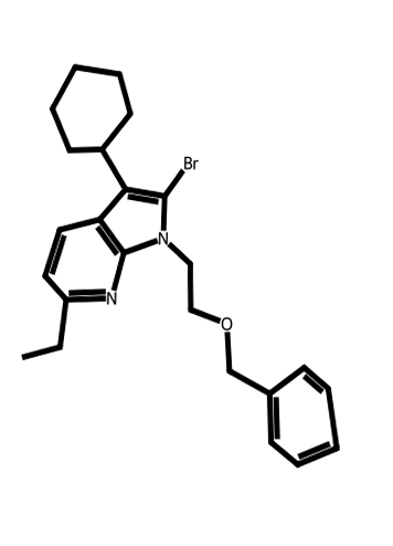 CCc1ccc2c(C3CCCCC3)c(Br)n(CCOCc3ccccc3)c2n1